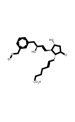 CCOCc1cccc(C[C@H](O)C=C[C@H]2[C@H](O)CC(Cl)[C@@H]2CC=CCCCC(=O)O)c1